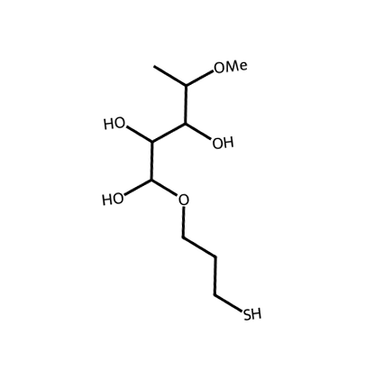 COC(C)C(O)C(O)C(O)OCCCS